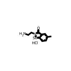 Cc1ccc2[se]n(CCN)c(=O)c2c1.Cl